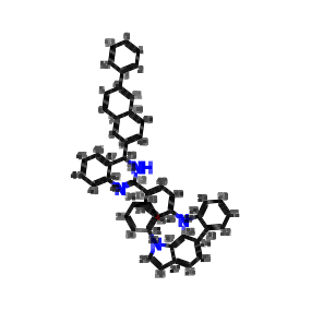 c1ccc(-c2ccc3cc(C4NC(c5ccc(-n6c7ccccc7c7ccc8ccn(-c9ccccc9)c8c76)cc5)=Nc5ccccc54)ccc3c2)cc1